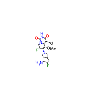 COc1c(N2CC3=CC(F)C(N)C3C2)c(F)cn2c(=O)[nH]c(=O)c(C3CC3)c12